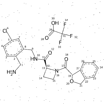 NCc1ccc(Cl)cc1CNC(=O)[C@@H]1CCN1C(=O)C1OCc2ccccc21.O=C(O)C(F)(F)F